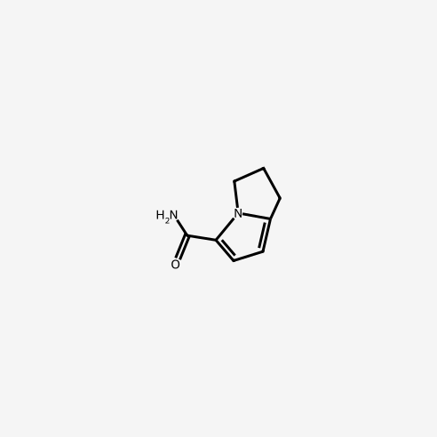 NC(=O)c1ccc2n1CCC2